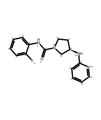 O=C(Nc1ccccc1F)N1CC[C@@H](Nc2cc[c]cn2)C1